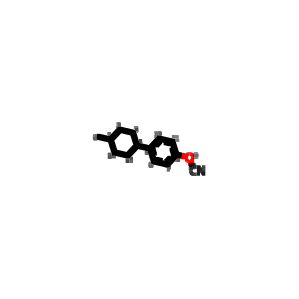 CC1CCC(c2ccc(OC#N)cc2)CC1